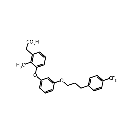 Cc1c(CC(=O)O)cccc1Oc1cccc(OCCCc2ccc(C(F)(F)F)cc2)c1